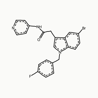 O=C(Cc1cn(Cc2ccc(F)cc2)c2ccc(Br)cc12)Nc1ccncc1